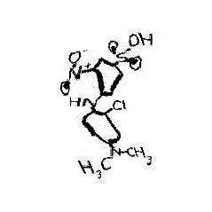 CN(C)c1ccc(Nc2ccc(S(=O)(=O)O)cc2[N+](=O)[O-])c(Cl)c1